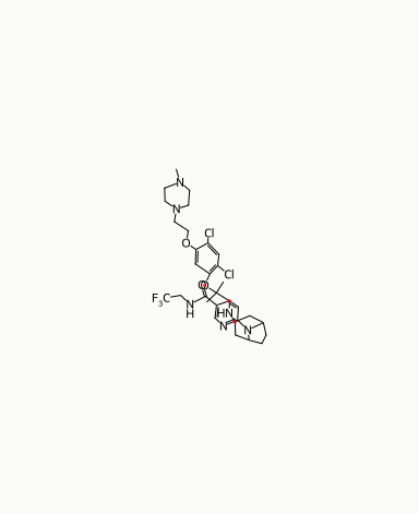 CN1CCN(CCOc2cc(OC(C)(C)CNC3CC4CCC(C3)N4c3ccc(C(=O)NCC(F)(F)F)cn3)c(Cl)cc2Cl)CC1